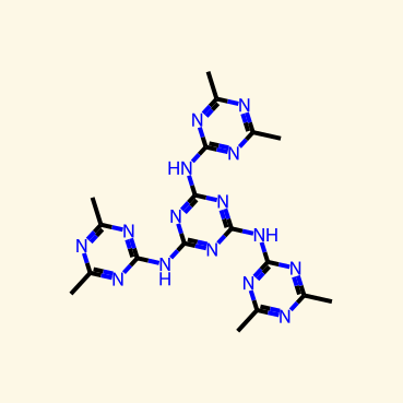 Cc1nc(C)nc(Nc2nc(Nc3nc(C)nc(C)n3)nc(Nc3nc(C)nc(C)n3)n2)n1